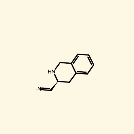 [N]=C[C@@H]1Cc2ccccc2CN1